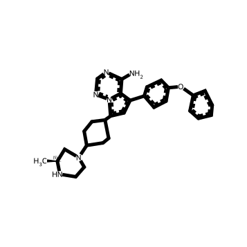 C[C@H]1CN(C2CCC(c3cc(-c4ccc(Oc5ccccc5)cc4)c4c(N)ncnn34)CC2)CCN1